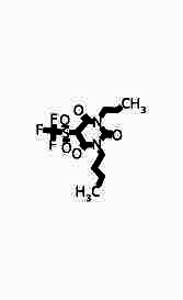 CCCCN1C(=O)C(S(=O)(=O)C(F)(F)F)C(=O)N(CCC)C1=O